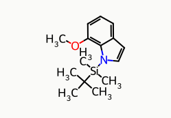 COc1cccc2ccn([Si](C)(C)C(C)(C)C)c12